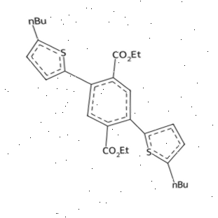 CCCCc1ccc(-c2cc(C(=O)OCC)c(-c3ccc(CCCC)s3)cc2C(=O)OCC)s1